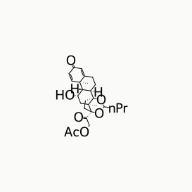 CCCC1O[C@@]2(C(=O)COC(C)=O)CC[C@@]3(O1)[C@@H]1CCC4=CC(=O)C=C[C@]4(C)[C@H]1[C@@H](O)C[C@]23C